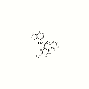 O=C(Nc1cccc2c1CCN2)c1cc(C(F)(F)F)ccc1-c1ccccc1